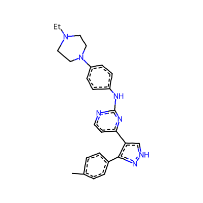 CCN1CCN(c2ccc(Nc3nccc(-c4c[nH]nc4-c4ccc(C)cc4)n3)cc2)CC1